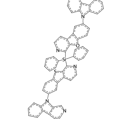 c1ccc([Si](c2ccccc2)(c2nccc3c2oc2ccc(-n4c5ccccc5c5ccccc54)cc23)c2nccc3c2sc2ccc(-n4c5ccccc5c5ccncc54)cc23)cc1